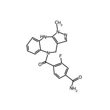 Cn1ncc2c1Nc1ccccc1N(C(=O)c1ccc(C(N)=O)cc1F)C2